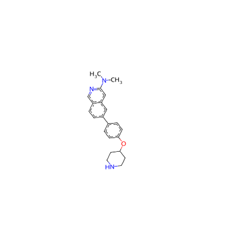 CN(C)c1cc2cc(-c3ccc(OC4CCNCC4)cc3)ccc2cn1